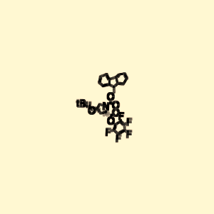 CC(C)(C)O[C@@H]1C[C@@H](C(=O)Oc2c(F)c(F)c(F)c(F)c2F)N(C(=O)OCC2c3ccccc3-c3ccccc32)C1